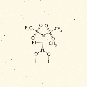 CCC(C)(N(OI)OI)N(S(=O)(=O)C(F)(F)F)S(=O)(=O)C(F)(F)F